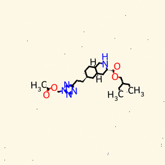 CCC(CC)COC(=O)[C@@H]1C[C@H]2C[C@@H](CCc3nnn(COC(C)=O)n3)CC[C@H]2CN1